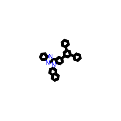 c1ccc(-c2cc(-c3ccccc3)cc(-c3ccc4c(c3)c3nc5ccccc5nc3n4-c3ccc4ccccc4c3)c2)cc1